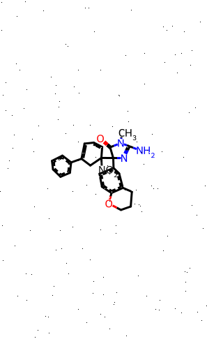 CN1C(=O)C(c2ccc3c(c2)CCCO3)(C2([N+](=O)[O-])C=CC=C(c3ccccc3)C2)N=C1N